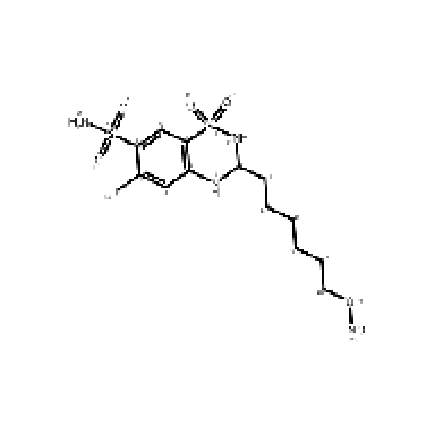 NS(=O)(=O)c1cc2c(cc1I)NC(CCCCCCON=O)NS2(=O)=O